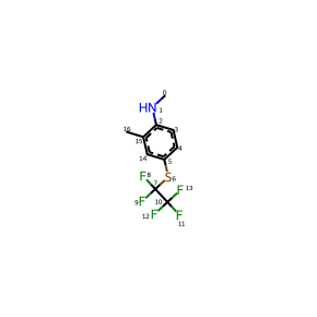 CNc1ccc(SC(F)(F)C(F)(F)F)cc1C